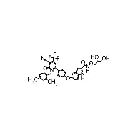 Cc1ccc(Cn2c(-c3ccc(Oc4ccc5[nH]c(C(=O)NOCC(O)CO)cc5c4)cc3)cc(C(F)(F)F)c(C#N)c2=O)c(C)c1